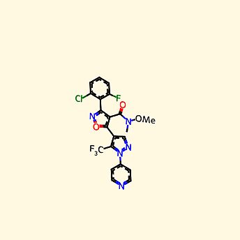 CON(C)C(=O)c1c(-c2c(F)cccc2Cl)noc1-c1cnn(-c2ccncc2)c1C(F)(F)F